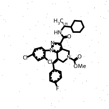 COC(=O)N1CC(=Cc2ccc(F)cc2)c2c(c(C(=O)N[C@H](C)C3CCCCC3)nn2-c2ccc(Cl)cc2Cl)C1